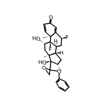 C[C@H]1C[C@H]2[C@@H]3C[C@H](F)C4=CC(=O)C=C[C@]4(C)[C@@]3(F)[C@@H](O)C[C@]2(C)[C@@]1(O)C1(Oc2ccccc2)CO1